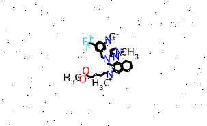 [C-]#[N+]c1cc(CN(Cc2cc3c(cc2N(CC)CCCCC(=O)OC)CCCC3)c2ccn(C)n2)cc(C(F)(F)F)c1